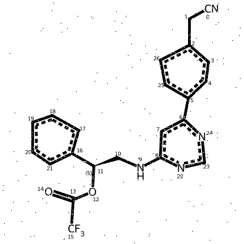 N#CCc1ccc(-c2cc(NC[C@@H](OC(=O)C(F)(F)F)c3ccccc3)ncn2)cc1